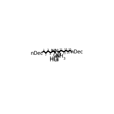 CCCCCCCCCCCCCCCC(=O)NC(=O)CCCCCCCCCCCCCCC.Cl.Cl.N